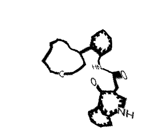 O=C(Nc1ccccc1C1CCCCCCCC1)c1c[nH]c2ccccc2c1=O